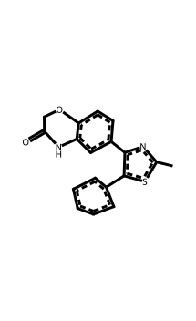 Cc1nc(-c2ccc3c(c2)NC(=O)CO3)c(-c2ccccc2)s1